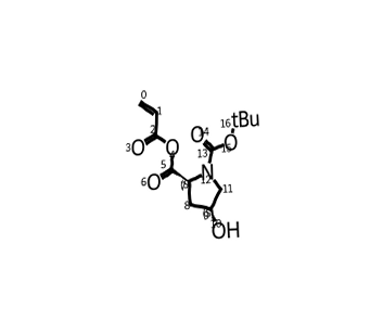 C=CC(=O)OC(=O)[C@@H]1C[C@H](O)CN1C(=O)OC(C)(C)C